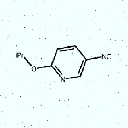 CC(C)Oc1ccc(N=O)cn1